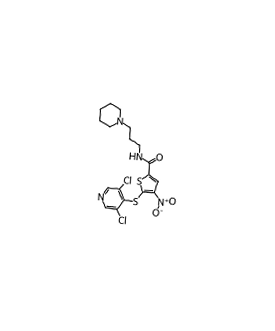 O=C(NCCCN1CCCCC1)c1cc([N+](=O)[O-])c(Sc2c(Cl)cncc2Cl)s1